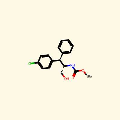 CC(C)(C)OC(=O)N[C@H](CO)[C@H](c1ccccc1)c1ccc(Cl)cc1